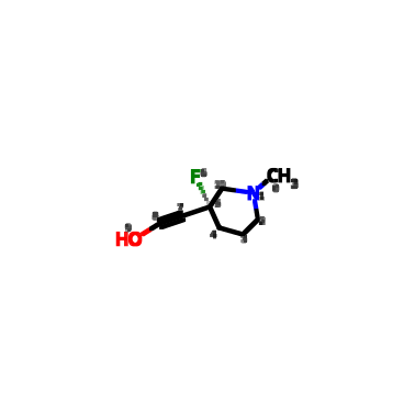 CN1CCC[C@@](F)(C#CO)C1